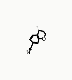 C[C@@H]1CCOc2cc(C#N)ccc21